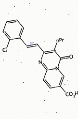 CCCc1c(/C=C/c2ccccc2Cl)nc2ccc(C(=O)O)cn2c1=O